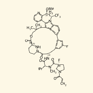 C=CC(=O)N1CC[C@](F)(C(=O)N(C)C(C(=O)N[C@H]2Cc3cc(F)cc(c3)-c3ccc4c(c3)c(c(-c3cccnc3[C@H](C)OC)n4CC(F)(F)F)CC(C)(C)COC(=O)[C@@H]3CCCN(N3)C2=O)C(C)C)C1